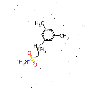 CCS(N)(=O)=O.Cc1cc(C)cc(C)c1